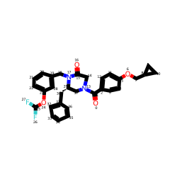 O=C(c1ccc(OCC2CC2)cc1)N1CC(=O)N(Cc2cccc(OC(F)F)c2)[C@@H](Cc2ccccc2)C1